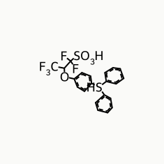 O=S(=O)(O)C(F)(F)C(Oc1ccc([SH](c2ccccc2)c2ccccc2)cc1)C(F)(F)F